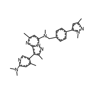 Cc1cc(N(C)Cc2ccc(-c3cc(C)nn3C)cc2)n2nc(C)c(-c3cnc(N(C)C)cc3C)c2n1